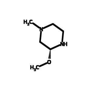 CO[C@@H]1CN(C)CCN1